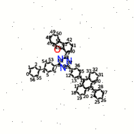 c1ccc(-c2ccc(-c3nc(-c4ccc(-c5c6ccccc6c(-c6ccccc6)c6ccccc56)cc4)nc(-c4cccc5c4oc4ccccc45)n3)cc2)cc1